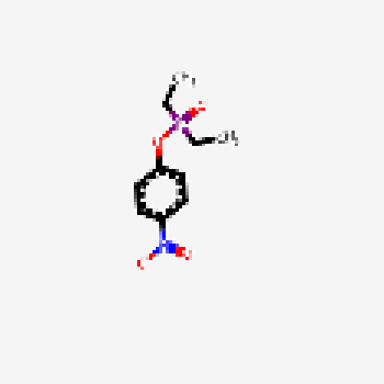 CCP(=O)(CC)Oc1ccc([N+](=O)[O-])cc1